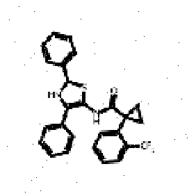 O=C(NC1=C(c2ccccc2)NC(c2ccccc2)S1)C1(c2ccccc2C(F)(F)F)CC1